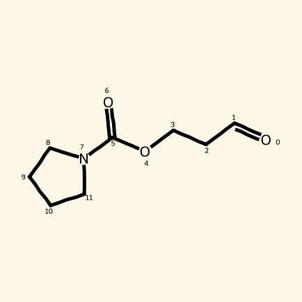 O=CCCOC(=O)N1CCCC1